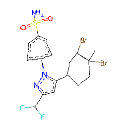 CC1(Br)CCC(c2cc(C(F)F)nn2-c2ccc(S(N)(=O)=O)cc2)CC1Br